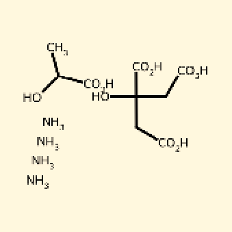 CC(O)C(=O)O.N.N.N.N.O=C(O)CC(O)(CC(=O)O)C(=O)O